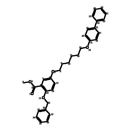 COC(=O)c1cc(OCCCCCCOc2ccc(-c3ccccc3)cc2)ccc1OCc1ccccc1